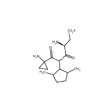 CC1CCC(C)C1N(C(=O)[C@@H](N)CC(=O)O)C(=O)C1(N)CC1